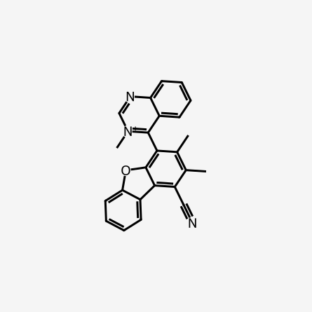 Cc1c(C)c(C#N)c2c(oc3ccccc32)c1-c1c2ccccc2nc[n+]1C